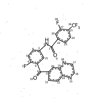 O=C(Nc1ccc(F)c(C(=O)c2ccc3nccnc3c2)c1)c1ccc(C(F)(F)F)c(F)c1